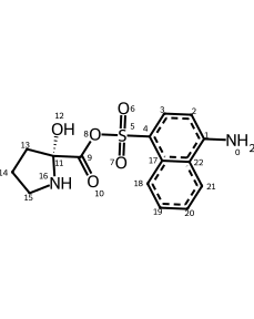 Nc1ccc(S(=O)(=O)OC(=O)[C@]2(O)CCCN2)c2ccccc12